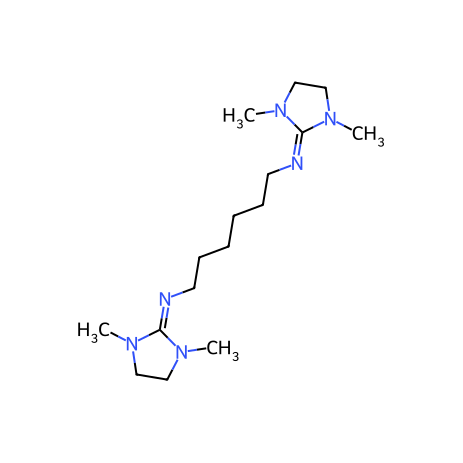 CN1CCN(C)C1=NCCCCCCN=C1N(C)CCN1C